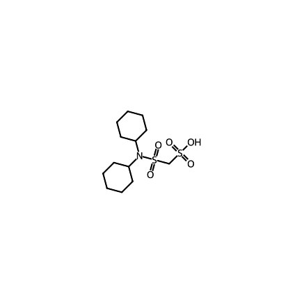 O=S(=O)(O)CS(=O)(=O)N(C1CCCCC1)C1CCCCC1